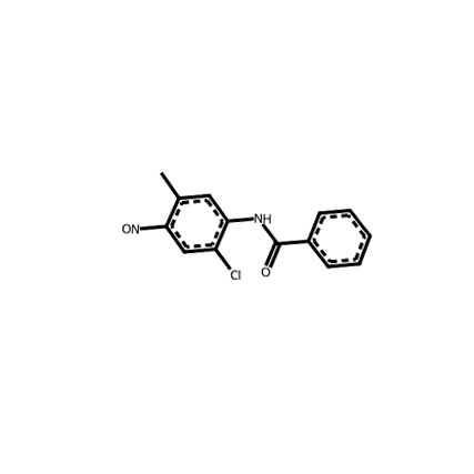 Cc1cc(NC(=O)c2ccccc2)c(Cl)cc1N=O